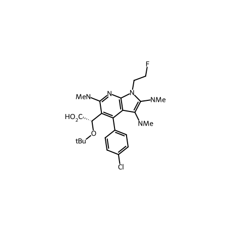 CNc1nc2c(c(NC)c(NC)n2CCF)c(-c2ccc(Cl)cc2)c1[C@H](OC(C)(C)C)C(=O)O